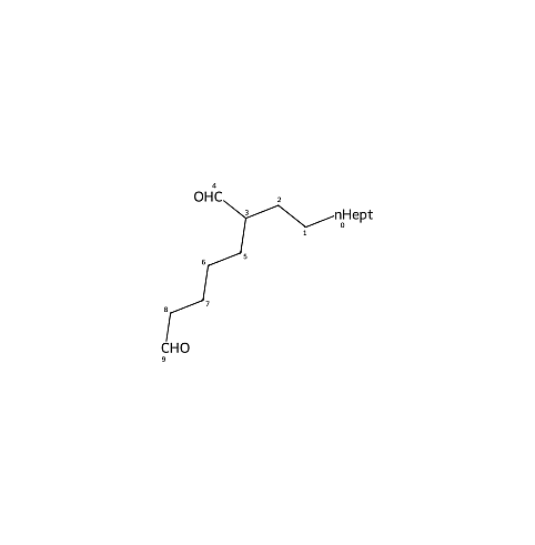 CCCCCCCCCC(C=O)CCCCC=O